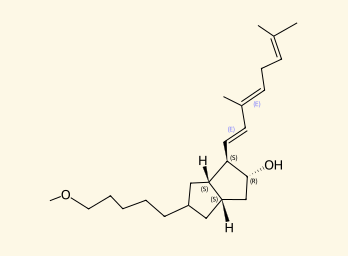 COCCCCCC1C[C@H]2C[C@@H](O)[C@H](/C=C/C(C)=C/CC=C(C)C)[C@H]2C1